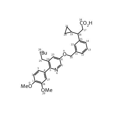 COc1ccc(-c2ncc(OCc3cccc(C(CC(=O)O)C4CC4)c3)cc2CC(C)(C)C)cc1OC